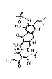 CN(C)Cc1c(F)c2c(c(O)c1NS(C)(=O)=O)C(=O)C1=C(O)[C@]3(O)C(=O)C(C(N)=O)=C(O)[C@@H](N(C)C)[C@@H]3C[C@@H]1C2